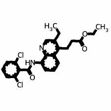 CCOC(=O)CCc1c(CC)cnc2c(NC(=O)c3c(Cl)cccc3Cl)cccc12